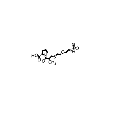 C[C@H](CSCCOCCS[SH](=O)=O)C(=O)N1CCC[C@H]1C(=O)O